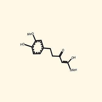 CCCCCCCCCC(O)=CC(=O)CCc1ccc(O)c(OC)c1